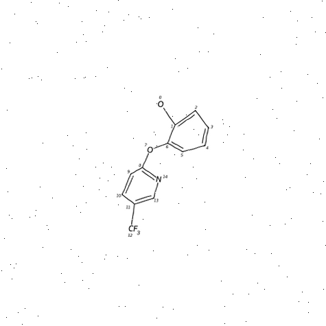 [O]c1ccccc1Oc1ccc(C(F)(F)F)cn1